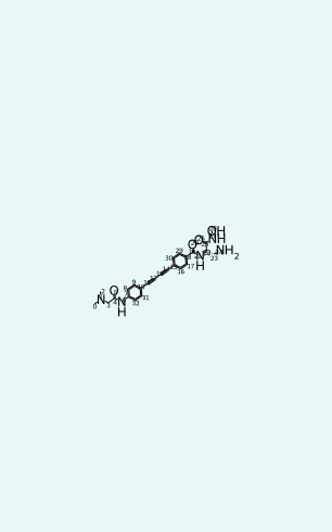 CN(C)CC(=O)Nc1ccc(C#CC#Cc2ccc(C(=O)N[C@@H](CN)C(=O)NO)cc2)cc1